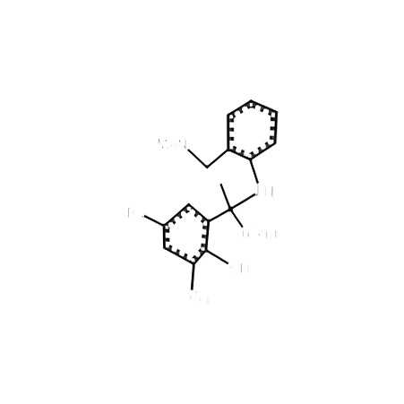 CCCCCC(C)(Pc1ccccc1CNC)c1cc(C(C)(C)C)cc(C(C)(C)C)c1O